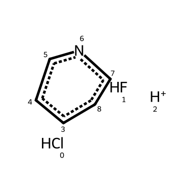 Cl.F.[H+].c1ccncc1